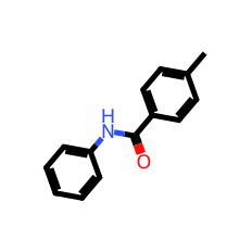 Cc1ccc(C(=O)Nc2ccccc2)cc1